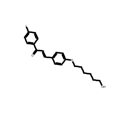 O=C(/C=C/c1ccc(OCCCCCCO)cc1)c1ccc(I)cc1